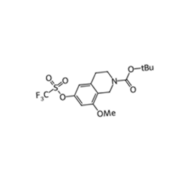 COc1cc(OS(=O)(=O)C(F)(F)F)cc2c1CN(C(=O)OC(C)(C)C)CC2